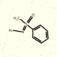 CC(=O)N=S(C)(=O)c1ccccc1